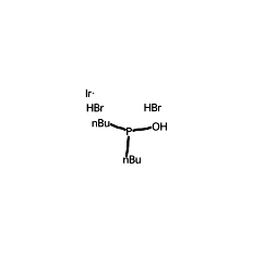 Br.Br.CCCCP(O)CCCC.[Ir]